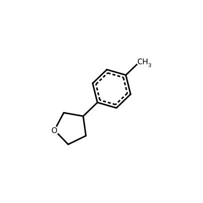 Cc1ccc(C2CCOC2)cc1